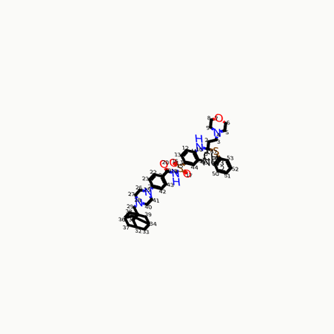 C[C@@](CCN1CCOCC1)(Nc1ccc(S(=O)(=O)NC(=O)c2ccc(N3CCN(CC45CC6CC(CC(C6)C4)C5)CC3)cc2)cc1[N+](=O)[O-])Sc1ccccc1